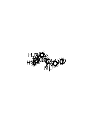 N#Cc1cc(S(=O)(=O)c2cccc(C(N)=O)c2Oc2cnc3[nH]ccc3c2)cnc1NC1CCC(N2CCOCC2)CC1